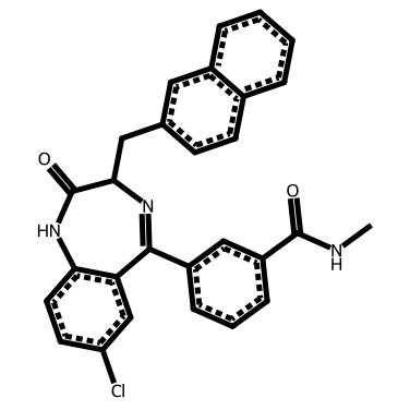 CNC(=O)c1cccc(C2=NC(Cc3ccc4ccccc4c3)C(=O)Nc3ccc(Cl)cc32)c1